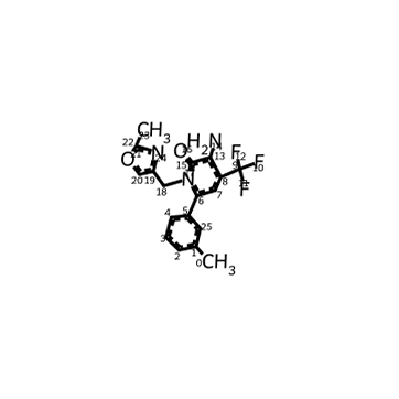 Cc1cccc(-c2cc(C(F)(F)F)c(N)c(=O)n2Cc2coc(C)n2)c1